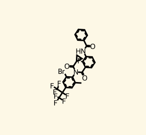 Cc1cc(C(F)(C(F)(F)F)C(F)(F)F)cc(Br)c1N(C(=O)c1cccc(NC(=O)c2ccccc2)c1F)C(=O)C1CC1